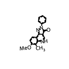 COc1ccc2c3nn(-c4ccccc4)c(=O)c-3c[nH]c2c1C